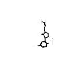 O=C1CC(CC=C(Cl)Cl)C(=O)C1c1cc(Cl)ccc1Cl